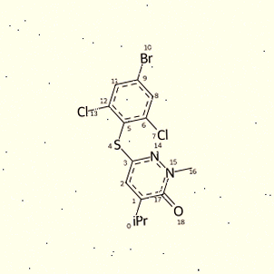 CC(C)c1cc(Sc2c(Cl)cc(Br)cc2Cl)nn(C)c1=O